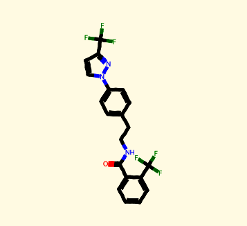 O=C(NCCc1ccc(-n2ccc(C(F)(F)F)n2)cc1)c1ccccc1C(F)(F)F